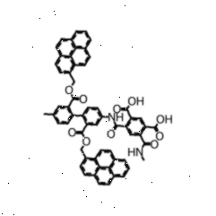 CNC(=O)c1cc(C(=O)Nc2ccc(-c3ccc(C)cc3C(=O)OCc3ccc4ccc5cccc6ccc3c4c56)c(C(=O)OCc3ccc4ccc5cccc6ccc3c4c56)c2)c(C(=O)O)cc1C(=O)O